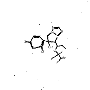 CCC(OC(F)(F)C(F)F)C(C)C(O)(Cn1cncn1)c1ccc(Cl)cc1Cl